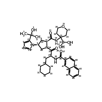 CC(C)(O)c1cnnn1[C@H]1C[C@@H](C(=O)NC2(B(O)O)CCOCC2)N(C(=O)C(CC2CCCCC2)NC(=O)c2ccc3ccccc3c2)C1